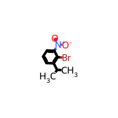 C[C](C)c1cccc([N+](=O)[O-])c1Br